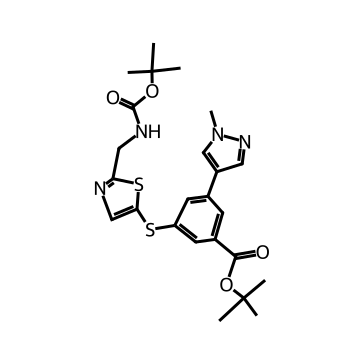 Cn1cc(-c2cc(Sc3cnc(CNC(=O)OC(C)(C)C)s3)cc(C(=O)OC(C)(C)C)c2)cn1